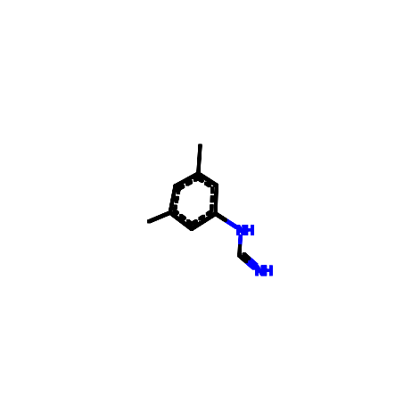 Cc1cc(C)cc(NC=N)c1